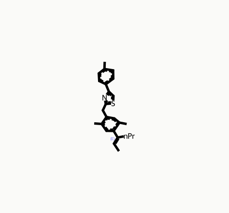 C/C=C(\CCC)c1cc(C)c(Cc2nc(-c3ccc(C)cc3)cs2)cc1C